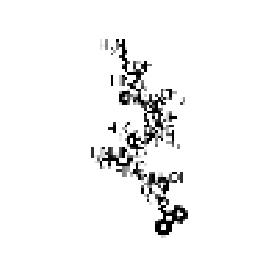 CC(C)C[C@H](NC(=O)[C@H](C)NC(=O)CNC(=O)[C@H](CC(C)C)NC(=O)[C@H](CCC(N)=O)NC(=O)CNC(=O)[C@@H]1C[C@@H](O)CN1C(=O)OCC1c2ccccc2-c2ccccc21)C(=O)NCC(=O)N1CCC[C@H]1C(=O)N[C@@H](CCCCN)C(=O)O